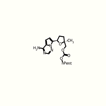 CCCCCOC(=O)OC[C@]1(C)CC[C@H](c2ccc3c(N)ncnn23)O1